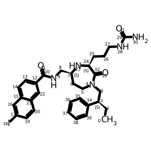 CC[C@H](CN1CC[C@@H](CNC(=O)c2ccc3cc(I)ccc3c2)N[C@@H](CCCNC(N)=O)C1=O)c1ccccc1